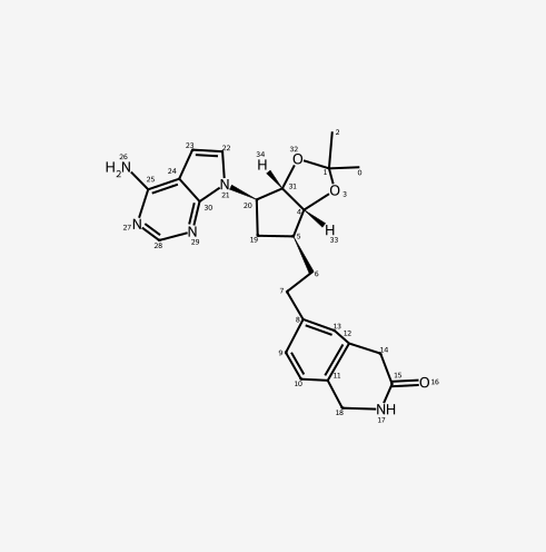 CC1(C)O[C@@H]2[C@@H](CCc3ccc4c(c3)CC(=O)NC4)C[C@@H](n3ccc4c(N)ncnc43)[C@@H]2O1